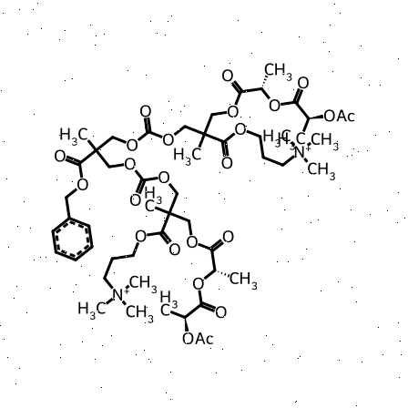 CC(=O)O[C@@H](C)C(=O)O[C@@H](C)C(=O)OCC(C)(COC(=O)OCC(C)(COC(=O)OCC(C)(COC(=O)[C@H](C)OC(=O)[C@H](C)OC(C)=O)C(=O)OCCC[N+](C)(C)C)C(=O)OCc1ccccc1)C(=O)OCCC[N+](C)(C)C